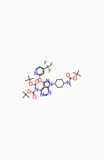 CN(C(=O)OC(C)(C)C)[C@H]1CC[C@@H](n2nc(Oc3cc(C(F)(F)F)ccn3)c3c(N(C(=O)OC(C)(C)C)C(=O)OC(C)(C)C)ncnc32)CC1